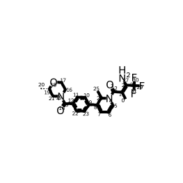 C/C(C(=O)N1C=CC=C(c2ccc(C(=O)N3CCO[C@@H](C)C3)cc2)C1C)=C(/N)C(F)(F)F